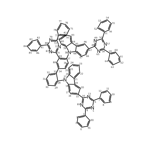 c1ccc(-c2nc(-c3ccccc3)nc(-c3ccc4c(c3)c3ccccc3n4-c3ccccc3-c3ccc(-n4c5ccccc5c5cc(-c6nc(-c7ccccc7)nc(-c7ccccc7)n6)ccc54)c(-c4nc(-c5ccccc5)nc(-c5ccccc5)n4)c3)n2)cc1